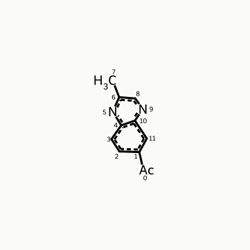 CC(=O)c1ccc2nc(C)cnc2c1